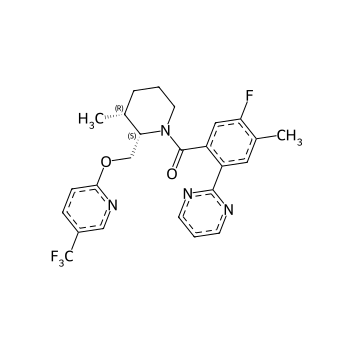 Cc1cc(-c2ncccn2)c(C(=O)N2CCC[C@@H](C)[C@H]2COc2ccc(C(F)(F)F)cn2)cc1F